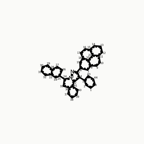 c1ccc(-c2c(-c3cc4ccc5cccc6ccc(c3)c4c56)nn3c(-c4ccc5ccccc5c4)cc4ccccc4c23)cc1